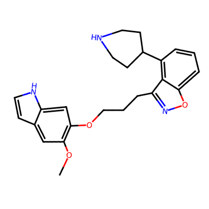 COc1cc2cc[nH]c2cc1OCCCc1noc2cccc(C3CCNCC3)c12